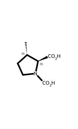 C[C@H]1CCN(C(=O)O)[C@@H]1C(=O)O